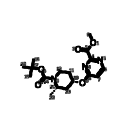 COC(=O)c1nccc(O[C@H]2CCN(C(=O)OC(C)(C)C)[C@@H](C)C2)n1